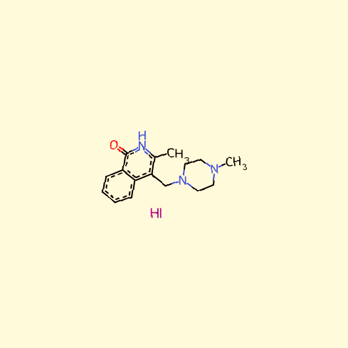 Cc1[nH]c(=O)c2ccccc2c1CN1CCN(C)CC1.I